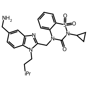 CC(C)CCn1c(CN2C(=O)N(C3CC3)S(=O)(=O)c3ccccc32)nc2cc(CN)ccc21